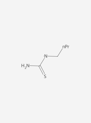 CCCC[N]C(N)=S